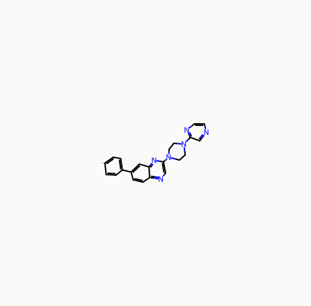 [c]1ccc(-c2ccc3ncc(N4CCN(c5cnccn5)CC4)nc3c2)cc1